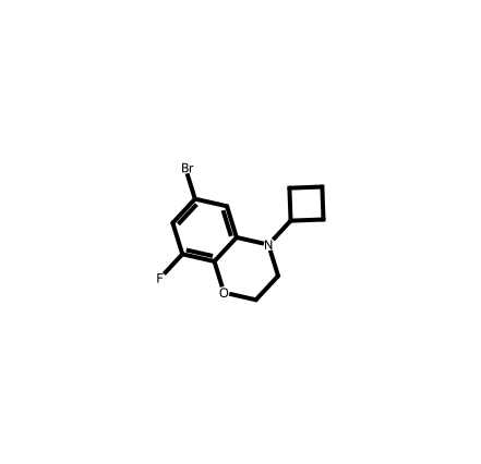 Fc1cc(Br)cc2c1OCCN2C1CCC1